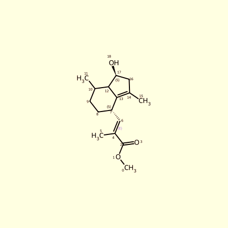 COC(=O)/C(C)=C/[C@@H]1CCC(C)C2C1=C(C)C[C@@H]2O